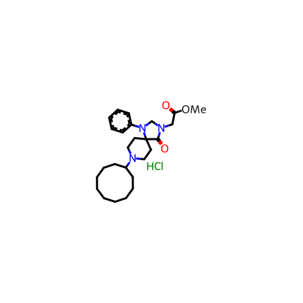 COC(=O)CN1CN(c2ccccc2)C2(CCN(C3CCCCCCCCC3)CC2)C1=O.Cl